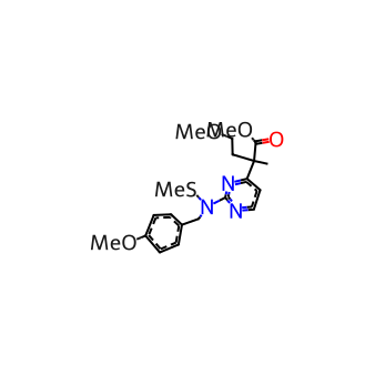 COCCC(C)(C(=O)OC)c1ccnc(N(Cc2ccc(OC)cc2)SC)n1